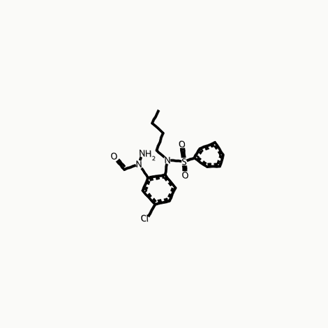 CCCCN(c1ccc(Cl)cc1N(N)C=O)S(=O)(=O)c1ccccc1